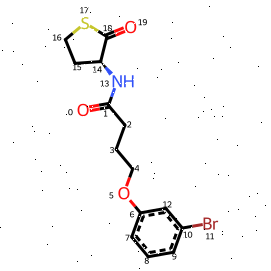 O=C(CCCOc1cccc(Br)c1)N[C@H]1CCSC1=O